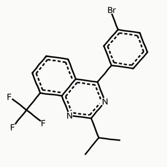 CC(C)c1nc(-c2cccc(Br)c2)c2cccc(C(F)(F)F)c2n1